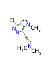 CN(C)CC#Cc1nnc(Cl)c2ccn(C)c12